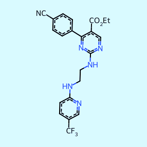 CCOC(=O)c1cnc(NCCNc2ccc(C(F)(F)F)cn2)nc1-c1ccc(C#N)cc1